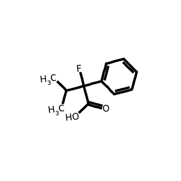 CC(C)C(F)(C(=O)O)c1ccccc1